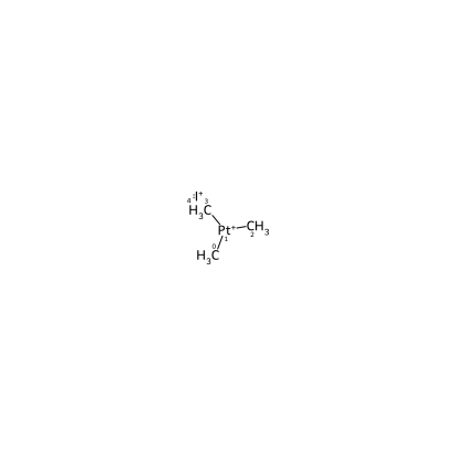 [CH3][Pt+]([CH3])[CH3].[I+]